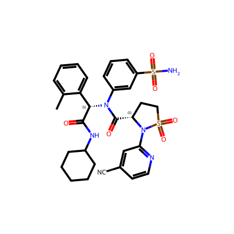 Cc1ccccc1[C@@H](C(=O)NC1CCCCC1)N(C(=O)[C@@H]1CCS(=O)(=O)N1c1cc(C#N)ccn1)c1cccc(S(N)(=O)=O)c1